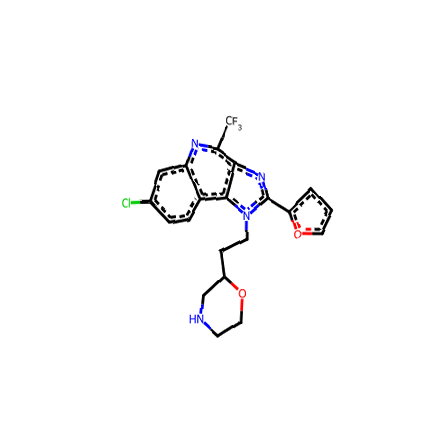 FC(F)(F)c1nc2cc(Cl)ccc2c2c1nc(-c1ccco1)n2CCC1CNCCO1